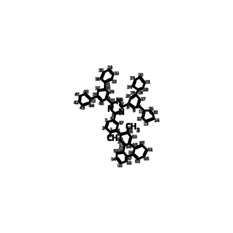 Cc1ccc(-c2nc(-c3cc(-c4ccccc4)cc(-c4ccccc4)c3)nc(-c3cc(-c4ccccc4)cc(-c4ccccc4)c3)n2)cc1-c1cc2c3ccccc3c3ccccc3c2cc1C